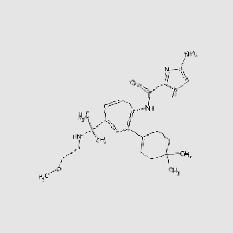 COCCNC(C)(C)c1ccc(NC(=O)c2nc(N)c[nH]2)c(C2=CCC(C)(C)CC2)c1